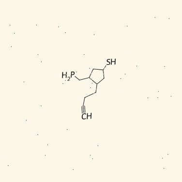 C#CCCC1CC(S)CC1CP